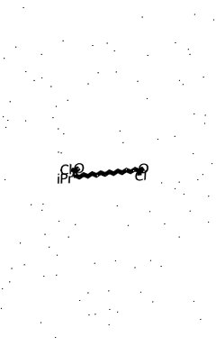 CC(C)C(CCCCCCCCCCCCCCC(=O)Cl)C(=O)Cl